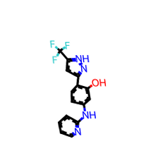 Oc1cc(Nc2ccccn2)ccc1-c1cc(C(F)(F)F)[nH]n1